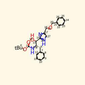 CC(C)(C)OC(=O)N[C@@H](Cc1ccccc1)C(O)c1nc(COCc2ccccc2)c[nH]1